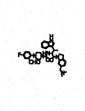 CC(c1c[nH]c2ccccc12)C(NC(=O)N1CCN(c2ccc(F)cc2C=O)CC1)C(=O)N1CCc2ccc(CN(C)C)cc21